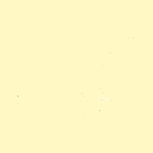 CCCCCCCCCCCCCCCCCC(=O)C(O)(C(=O)CCCCCCCCCCCCCCCCC)C([N+](C)(C)C)P(=O)(O)O